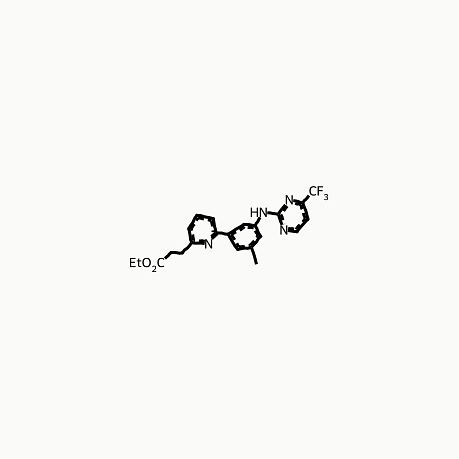 CCOC(=O)CCc1cccc(-c2cc(C)cc(Nc3nccc(C(F)(F)F)n3)c2)n1